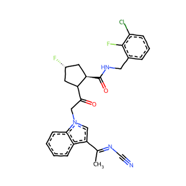 C/C(=N\C#N)c1cn(CC(=O)C2C[C@H](F)C[C@H]2C(=O)NCc2cccc(Cl)c2F)c2ccccc12